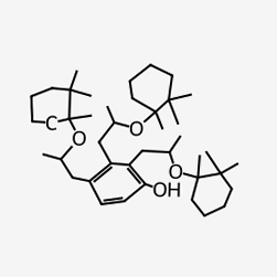 CC(Cc1ccc(O)c(CC(C)OC2(C)CCCCC2(C)C)c1CC(C)OC1(C)CCCCC1(C)C)OC1(C)CCCCC1(C)C